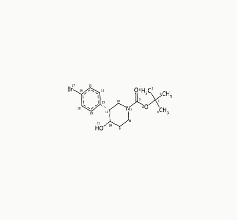 CC(C)(C)OC(=O)N1CCC(O)[C@H](c2ccc(Br)cc2)C1